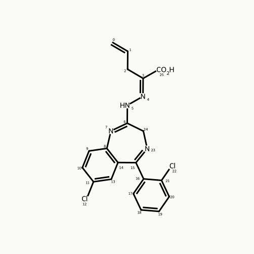 C=CCC(=NNC1=Nc2ccc(Cl)cc2C(c2ccccc2Cl)=NC1)C(=O)O